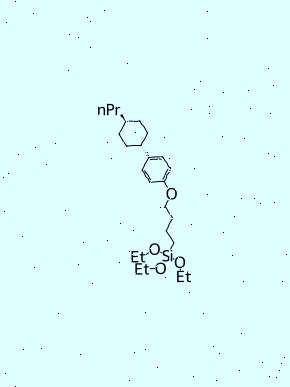 CCC[C@H]1CC[C@H](c2ccc(OCCCC[Si](OCC)(OCC)OCC)cc2)CC1